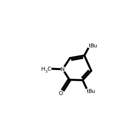 Cn1cc(C(C)(C)C)cc(C(C)(C)C)c1=O